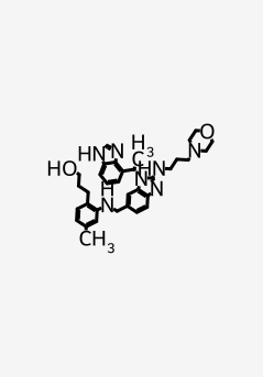 Cc1ccc(CCCO)c(NCc2ccc3nc(NCCCN4CCOCC4)n(C(C)c4cccc5[nH]cnc45)c3c2)c1